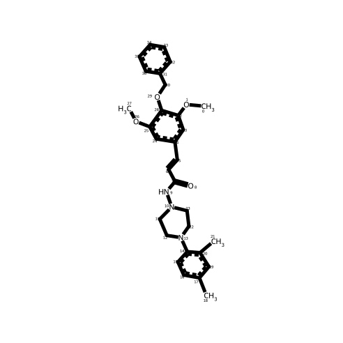 COc1cc(C=CC(=O)NN2CCN(c3ccc(C)cc3C)CC2)cc(OC)c1OCc1ccccc1